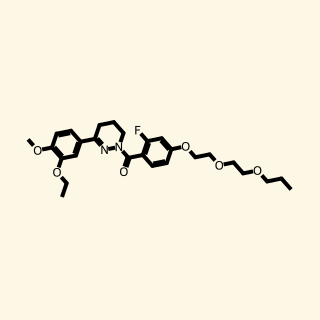 CCCOCCOCCOc1ccc(C(=O)N2CCCC(c3ccc(OC)c(OCC)c3)=N2)c(F)c1